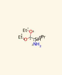 CCC[SiH](N)C(OCC)OCC